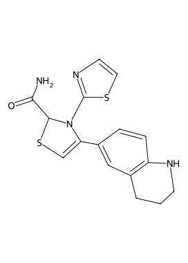 NC(=O)C1SC=C(c2ccc3c(c2)CCCN3)N1c1nccs1